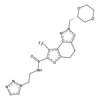 O=C(NCCn1ccnn1)c1oc2c(c1C(F)(F)F)-c1nn(C[C@H]3COCCO3)cc1CC2